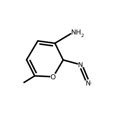 CC1=CC=C(N)C(N=[N])O1